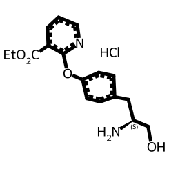 CCOC(=O)c1cccnc1Oc1ccc(C[C@H](N)CO)cc1.Cl